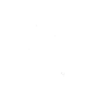 CCC([O][Sn][CH](C)CCCC(C)N)SI.Cl